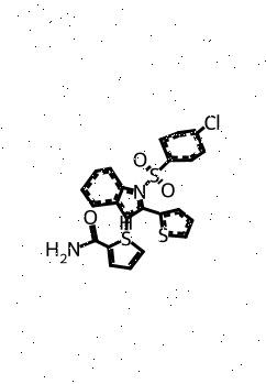 NC(=O)C1=CC=C[SH]1c1c(-c2cccs2)n(S(=O)(=O)c2ccc(Cl)cc2)c2ccccc12